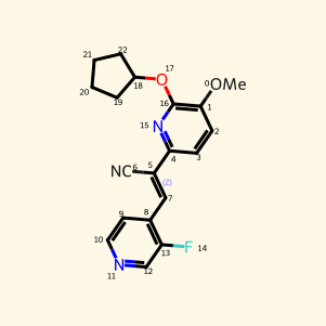 COc1ccc(/C(C#N)=C/c2ccncc2F)nc1OC1CCCC1